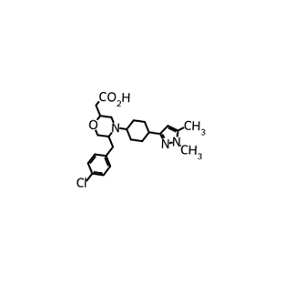 Cc1cc(C2CCC(N3CC(CC(=O)O)OCC3Cc3ccc(Cl)cc3)CC2)nn1C